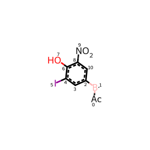 CC(=O)[B]c1cc(I)c(O)c([N+](=O)[O-])c1